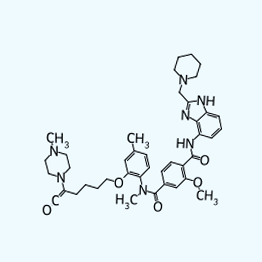 COc1cc(C(=O)N(C)c2ccc(C)cc2OCCCCC(=C=O)N2CCN(C)CC2)ccc1C(=O)Nc1cccc2[nH]c(CN3CCCCC3)nc12